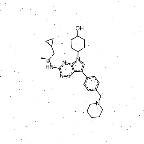 C[C@@H](CC1CC1)Nc1ncc2c(-c3ccc(CN4CCCCC4)cc3)cn(C3CCC(O)CC3)c2n1